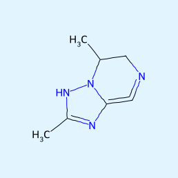 CC1=NC2=C=NCC(C)N2N1